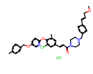 COCC=Cc1ccc(CN2CCN(C(=O)C=Cc3cc(C)c(Oc4ccc(OCc5ccc(C)cc5)cn4)c(Cl)c3)CC2)cc1.Cl